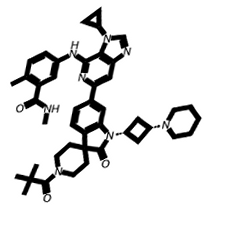 CNC(=O)c1cc(Nc2nc(-c3ccc4c(c3)N([C@H]3C[C@@H](N5CCCCC5)C3)C(=O)C43CCN(C(=O)C(C)(C)C)CC3)cc3ncn(C4CC4)c23)ccc1C